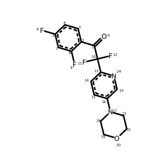 O=C(c1ccc(F)cc1F)C(F)(F)c1ccc(N2CCOCC2)cn1